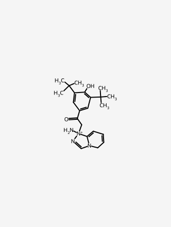 CC(C)(C)c1cc(C(=O)C[N+]2(N)N=CN3CC=CC=C32)cc(C(C)(C)C)c1O